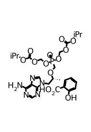 CC(C)OC(=O)OCOP(=O)(CO[C@H](C)Cn1cnc2c(N)ncnc21)OCOC(=O)OC(C)C.O=C(O)c1ccccc1O